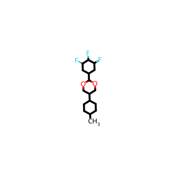 CC1CCC(C2COC(C3CC(F)C(F)[C@H](F)C3)OC2)CC1